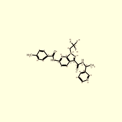 Cc1ccc(C(=O)Nc2ccc3c(C(=O)NC(C)c4cccnc4)nn(CC(F)(F)F)c3n2)cc1